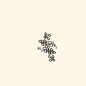 CC(C)c1cc(N(c2ccc(-c3cccc([Si](c4ccccc4)(c4ccccc4)c4ccccc4)c3)cc2F)c2cccc3c2oc2ccccc23)c2ccc3c(C(C)C)cc(N(c4ccc(-c5cccc([Si](c6ccccc6)(c6ccccc6)c6ccccc6)c5)cc4F)c4cccc5c4oc4ccccc45)c4ccc1c2c34